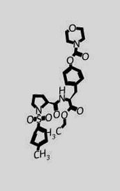 CCOC(=O)[C@H](Cc1ccc(OC(=O)N2CCOCC2)cc1)NC(=O)[C@@H]1CCCN1S(=O)(=O)c1ccc(C)cc1